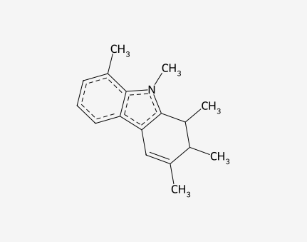 CC1=Cc2c(n(C)c3c(C)cccc23)C(C)C1C